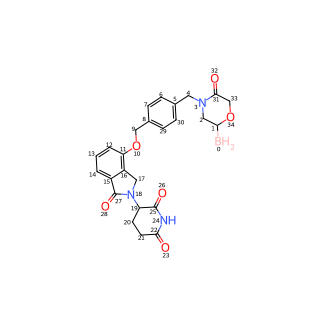 BC1CN(Cc2ccc(COc3cccc4c3CN(C3CCC(=O)NC3=O)C4=O)cc2)C(=O)CO1